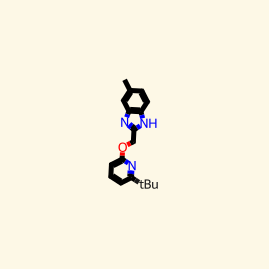 Cc1ccc2[nH]c(COc3cccc(C(C)(C)C)n3)nc2c1